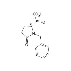 O=C(O)C(=O)[C@H]1CCC(=O)N1Cc1ccccc1